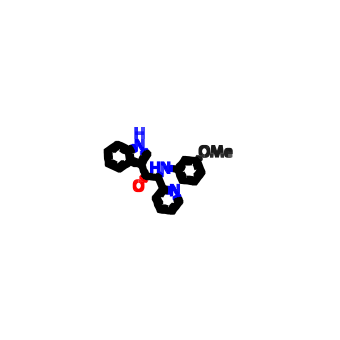 COc1cccc(NC(C(=O)c2c[nH]c3ccccc23)c2ccccn2)c1